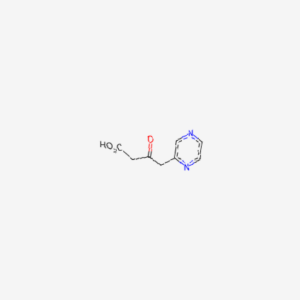 O=C(O)CC(=O)Cc1cnccn1